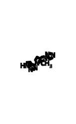 CC12CN(c3ccncn3)CC1CCN(c1ncnc3[nH]ccc13)C2